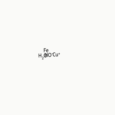 O.[Cu+].[Fe].[OH-]